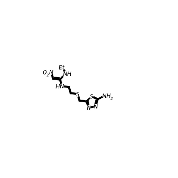 CCNC(=C[N+](=O)[O-])NCCSCc1nnc(N)s1